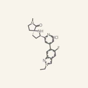 CCn1cc2cc(F)c(-c3ccnc([C@H]4CC[C@@]5(CCN(C)C5=O)N4)c3)cc2n1.Cl